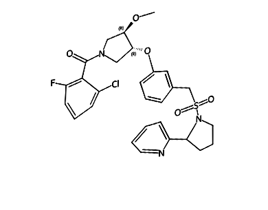 CO[C@@H]1CN(C(=O)c2c(F)cccc2Cl)C[C@H]1Oc1cccc(CS(=O)(=O)N2CCCC2c2ccccn2)c1